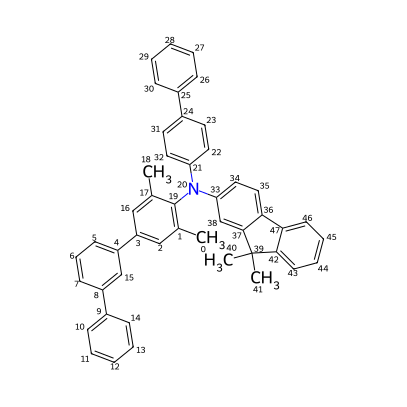 Cc1cc(-c2cccc(-c3ccccc3)c2)cc(C)c1N(c1ccc(-c2ccccc2)cc1)c1ccc2c(c1)C(C)(C)c1ccccc1-2